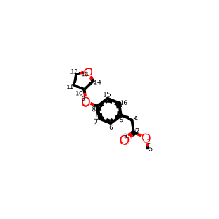 COC(=O)Cc1ccc(OC2CCOC2)cc1